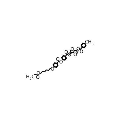 C=CC(=O)OCCCCCCOc1ccc(C(=O)Oc2ccc(C(=O)O[C@H]3COC4C3OC[C@@H]4OC(=O)c3ccc(C)cc3)cc2)cc1